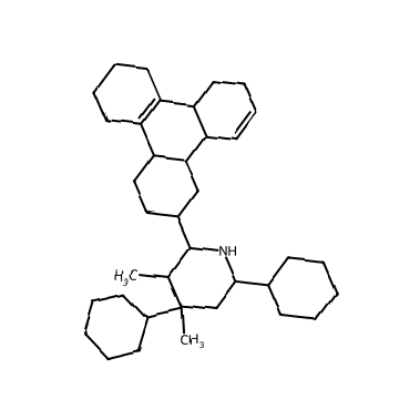 CC1C(C2CCC3C4=C(CCCC4)C4CCC=CC4C3C2)NC(C2CCCCC2)CC1(C)C1CCCCC1